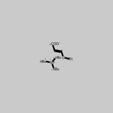 CCC[CH2][Sn+]([CH2]CCC)[CH2]CCC.CCOC=CC(=O)[O-]